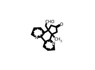 CC12CC(=O)CC1(CC=O)c1cccnc1-c1cccnc12